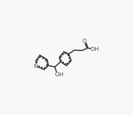 O=C(O)CCc1ccc(C(O)c2cccnc2)cc1